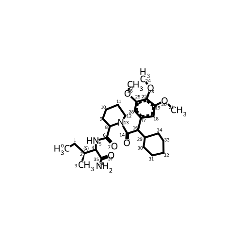 CC[C@H](C)C(NC(=O)C1CCCCN1C(=O)C(c1cc(OC)c(OC)c(OC)c1)C1CCCCC1)C(N)=O